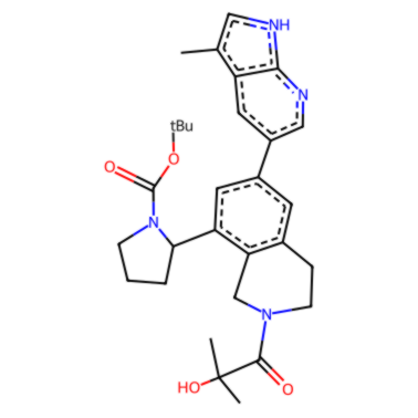 Cc1c[nH]c2ncc(-c3cc4c(c(C5CCCN5C(=O)OC(C)(C)C)c3)CN(C(=O)C(C)(C)O)CC4)cc12